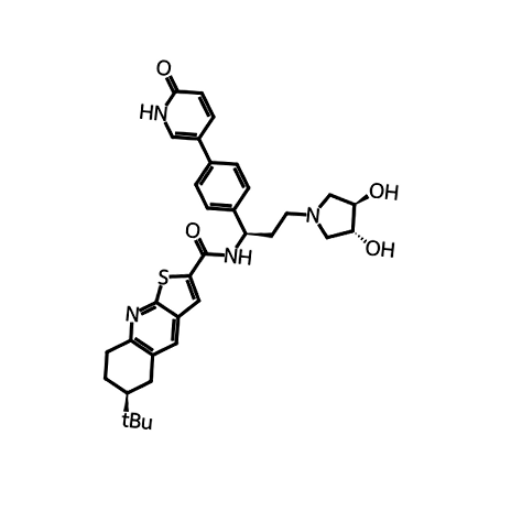 CC(C)(C)[C@H]1CCc2nc3sc(C(=O)N[C@H](CCN4C[C@@H](O)[C@H](O)C4)c4ccc(-c5ccc(=O)[nH]c5)cc4)cc3cc2C1